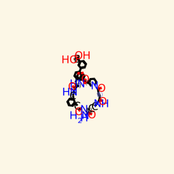 NC(=O)[C@@H]1CCNC(=O)/C=C/C(=O)N2CCC[C@](Cc3ccccc3)(C2)C(=O)N[C@@H](Cc2ccc(-c3cccc(B(O)O)c3)cc2)C(=O)NCc2ccccc2CC(=O)N1